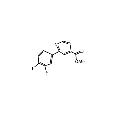 COC(=O)c1cc(-c2ccc(F)c(F)c2)ncn1